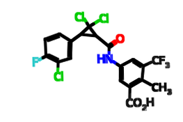 Cc1c(C(=O)O)cc(NC(=O)C2C(c3ccc(F)c(Cl)c3)C2(Cl)Cl)cc1C(F)(F)F